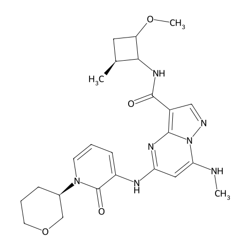 CNc1cc(Nc2cccn([C@@H]3CCCOC3)c2=O)nc2c(C(=O)NC3C(OC)C[C@@H]3C)cnn12